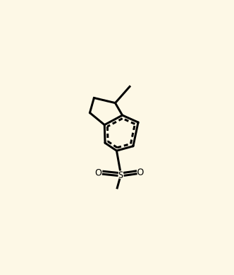 CC1CCc2cc(S(C)(=O)=O)ccc21